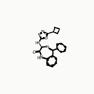 O=C1Nc2ccccc2C(c2ccccc2)=N[C@@H]1Nc1nnc(C2CCC2)o1